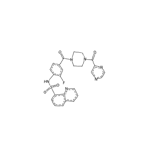 O=C(c1ccc(NS(=O)(=O)c2cccc3cccnc23)c(F)c1)N1CCN(C(=O)c2cnccn2)CC1